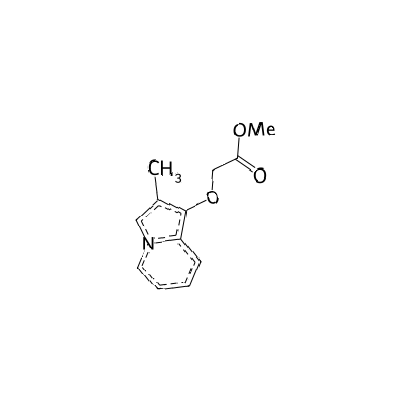 COC(=O)COc1c(C)cn2ccccc12